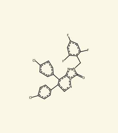 O=c1n(Cc2c(F)cc(F)cc2F)nc2c(-c3ccc(Cl)cc3)c(-c3ccc(Cl)cc3)cnn12